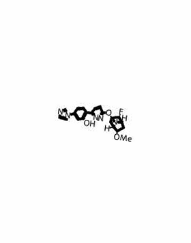 CO[C@@H]1C[C@H]2[C@@H](F)[C@H](Oc3ccc(-c4ccc(-n5ccnc5)cc4O)nn3)C[C@@H]1N2C